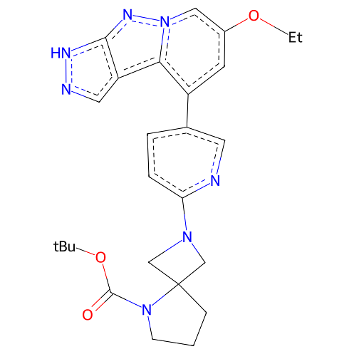 CCOc1cc(-c2ccc(N3CC4(CCCN4C(=O)OC(C)(C)C)C3)nc2)c2c3cn[nH]c3nn2c1